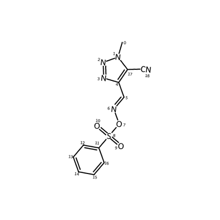 Cn1nnc(/C=N/OS(=O)(=O)c2ccccc2)c1C#N